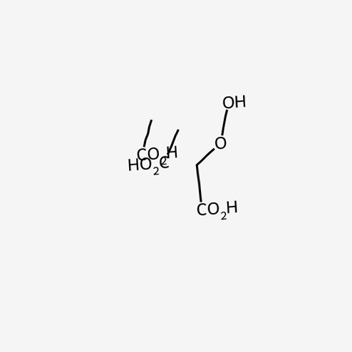 CC(=O)O.CC(=O)O.O=C(O)COO